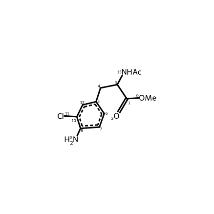 COC(=O)C(Cc1ccc(N)c(Cl)c1)NC(C)=O